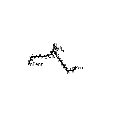 CCCCC/C=C\C/C=C\CCCCCCCCOc1cc(CN(C)C)cc(OCCCCCCCC/C=C\C/C=C\CCCCC)n1